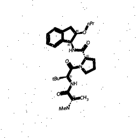 CCCO[C@@H]1Cc2ccccc2[C@@H]1NC(=O)[C@@H]1CCCN1C(=O)[C@@H](NC(=O)[C@H](C)NC)C(C)(C)C